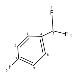 Fc1ccc(C(F)F)cc1